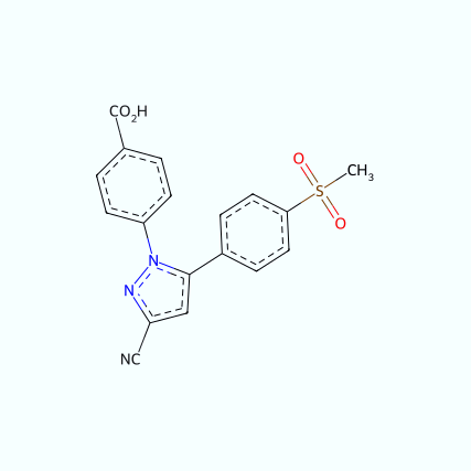 CS(=O)(=O)c1ccc(-c2cc(C#N)nn2-c2ccc(C(=O)O)cc2)cc1